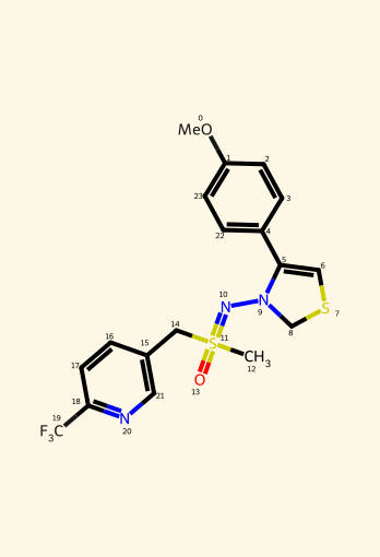 COc1ccc(C2=CSCN2N=S(C)(=O)Cc2ccc(C(F)(F)F)nc2)cc1